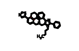 CCCCn1c(-c2ccccc2)nc(-c2ccccc2)c1CN(Cc1ccc(-c2cncs2)cc1)CC1CCCCC1